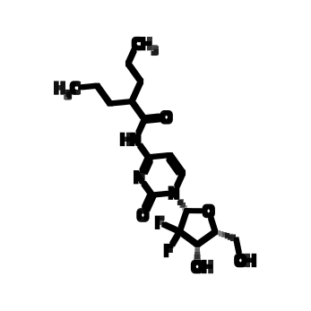 CCCC(CCC)C(=O)Nc1ccn([C@@H]2O[C@H](CO)[C@H](O)C2(F)F)c(=O)n1